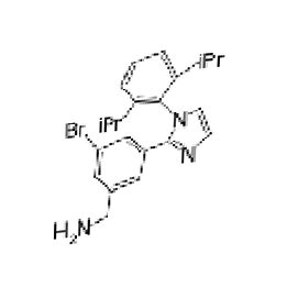 CC(C)c1cccc(C(C)C)c1-n1ccnc1-c1cc(Br)cc(CN)c1